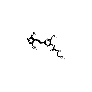 CCCCc1noc(C)c1/C=C/c1nc(C)c(OC(=O)NCC(F)(F)F)s1